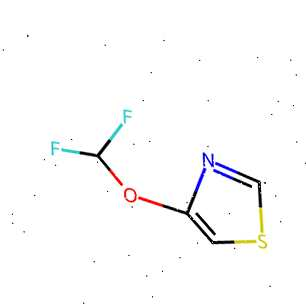 FC(F)Oc1cs[c]n1